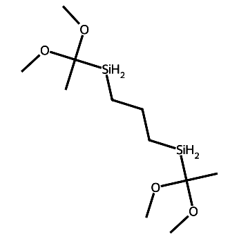 COC(C)(OC)[SiH2]CCC[SiH2]C(C)(OC)OC